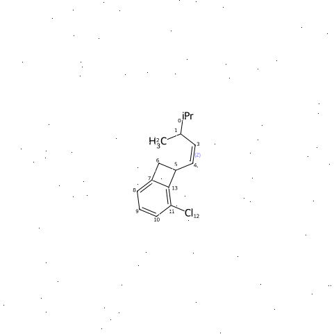 CC(C)C(C)/C=C\C1Cc2cccc(Cl)c21